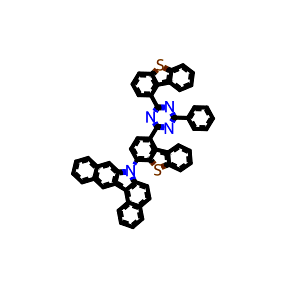 c1ccc(-c2nc(-c3cccc4sc5ccccc5c34)nc(-c3ccc(-n4c5cc6ccccc6cc5c5c6ccccc6ccc54)c4sc5ccccc5c34)n2)cc1